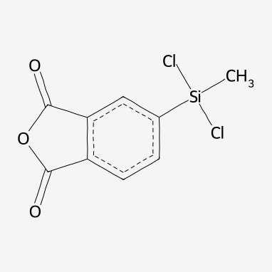 C[Si](Cl)(Cl)c1ccc2c(c1)C(=O)OC2=O